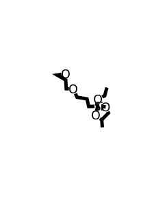 CCO[Si]1(CCCOCC2CO2)OCC(C)O1